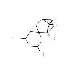 CC1CC2(CC3CCC2(C)C3(C)C)OC(C)O1